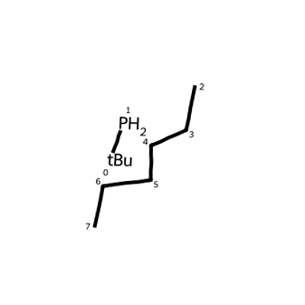 CC(C)(C)P.CCCCCC